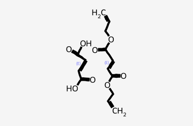 C=CCOC(=O)/C=C/C(=O)OCC=C.O=C(O)/C=C/C(=O)O